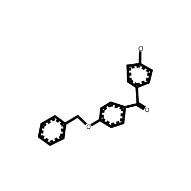 O=C(c1ccc(Cl)cc1)c1ccc(OCc2ccccc2)cc1